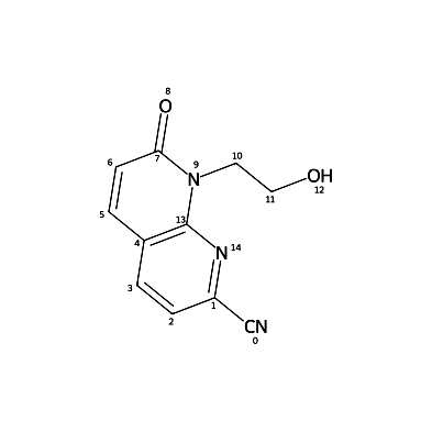 N#Cc1ccc2ccc(=O)n(CCO)c2n1